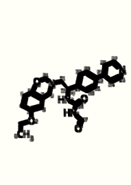 CCOc1ccc2c(c1)CN(C[C@H](NC(=O)NC=O)c1ccc(-c3ccncc3)cc1)CO2